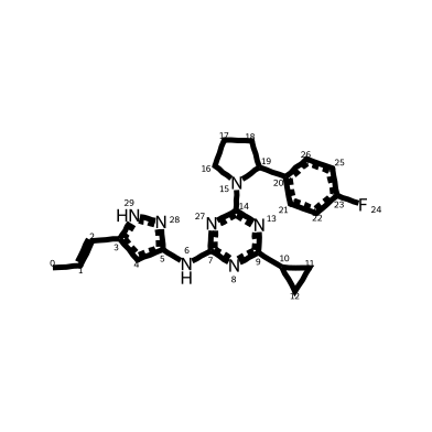 C/C=C/c1cc(Nc2nc(C3CC3)nc(N3CCCC3c3ccc(F)cc3)n2)n[nH]1